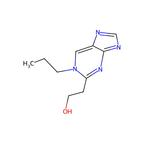 CCCn1cc2ncnc-2nc1CCO